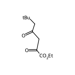 CCOC(=O)C(=O)CC(=O)CC(C)(C)C